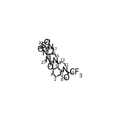 Cc1cccc2c1N(C(=O)C(F)(F)F)CCC2N1Cc2cnc(S(C)(=O)=O)nc2N(C)C1=O